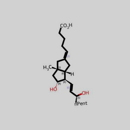 CCCCC[C@H](O)/C=C/[C@H]1[C@H](O)C[C@]2(C)C/C(=C\CCCC(=O)O)C[C@H]12